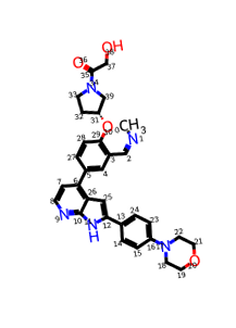 C/N=C\c1cc(-c2ccnc3[nH]c(-c4ccc(N5CCOCC5)cc4)cc23)ccc1O[C@@H]1CCN(C(=O)CO)C1